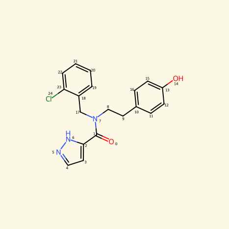 O=C(c1ccn[nH]1)N(CCc1ccc(O)cc1)Cc1ccccc1Cl